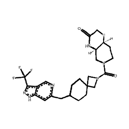 O=C1CO[C@H]2CCN(C(=O)N3CC4(CCC(Cc5cc6[nH]nc(C(F)(F)F)c6cn5)CC4)C3)C[C@H]2N1